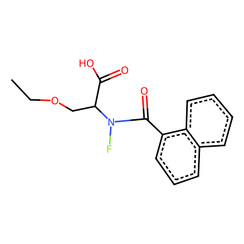 CCOCC(C(=O)O)N(F)C(=O)c1cccc2ccccc12